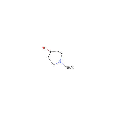 [CH2]C(=O)NN1CCC(O)CC1